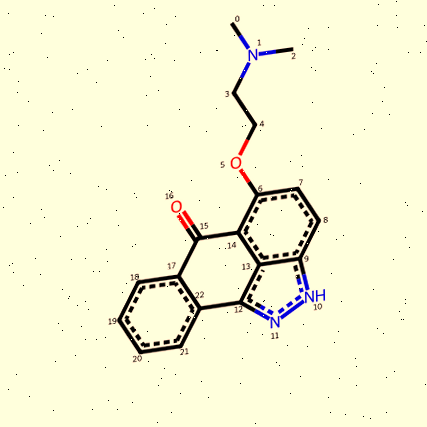 CN(C)CCOc1ccc2[nH]nc3c2c1C(=O)c1ccccc1-3